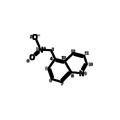 O=[N+]([O-])Cc1cccc2ncccc12